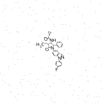 CCC1C(=O)N(c2ccc3c(cnn3-c3ccc(F)cc3)c2)C(c2ccccc2)C1NC(=O)C1CC1